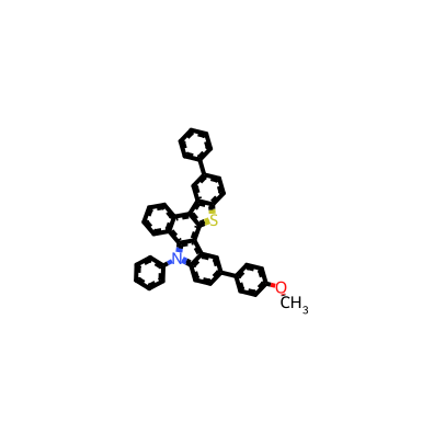 COc1ccc(-c2ccc3c(c2)c2c4sc5ccc(-c6ccccc6)cc5c4c4ccccc4c2n3-c2ccccc2)cc1